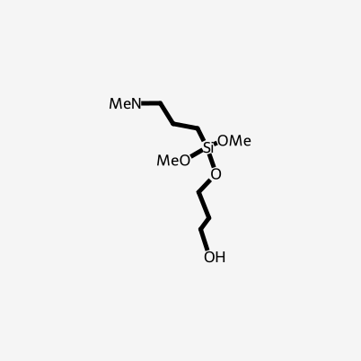 CNCCC[Si](OC)(OC)OCCCO